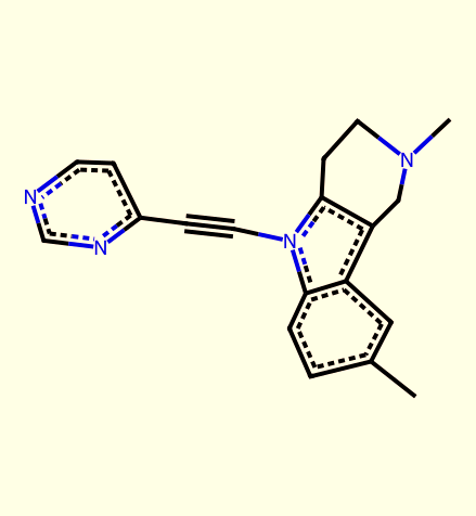 Cc1ccc2c(c1)c1c(n2C#Cc2ccncn2)CCN(C)C1